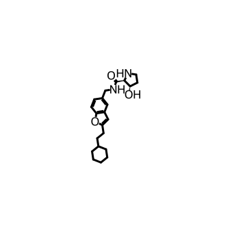 O=C(NCc1ccc2oc(CCC3CCCCC3)cc2c1)[C@H]1NCC[C@@H]1O